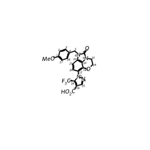 COc1ccc(Cn2c(=O)n3c4c(c(-n5ncc(C(=O)O)c5C(F)(F)F)ccc42)OCC3)cc1